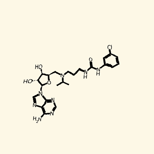 CC(C)N(CCCNC(=O)Nc1cccc(Cl)c1)C[C@H]1O[C@@H](n2cnc3c(N)ncnc32)[C@H](O)[C@H]1O